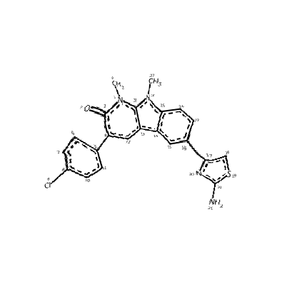 Cn1c(=O)c(-c2ccc(Cl)cc2)cc2c3cc(-c4csc(N)n4)ccc3n(C)c21